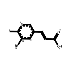 Cc1ncc(/C=C/C(=O)O)cc1Br